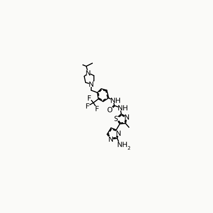 Cc1nc(NC(=O)Nc2ccc(CN3CCN(C(C)C)CC3)c(C(F)(F)F)c2)sc1-c1ccnc(N)n1